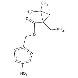 CC1(C)CC1(CN)C(=O)OCc1ccc([N+](=O)[O-])cc1